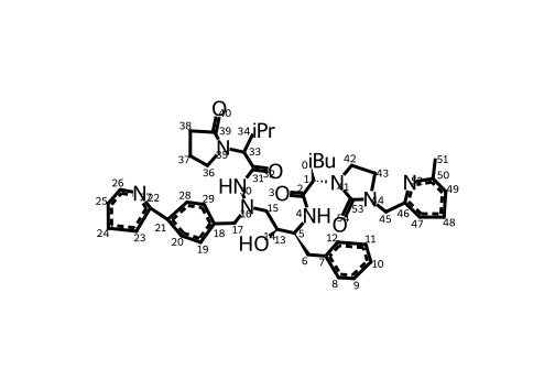 CC[C@H](C)[C@@H](C(=O)N[C@@H](Cc1ccccc1)[C@@H](O)CN(Cc1ccc(-c2ccccn2)cc1)NC(=O)C(C(C)C)N1CCCC1=O)N1CCN(Cc2cccc(C)n2)C1=O